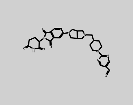 O=Cc1cnc(N2CCC(CN3CC4CN(c5ccc6c(c5)C(=O)N(C5CCC(=O)NC5=O)C6=O)CC4C3)CC2)nc1